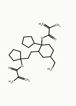 C=C(C)C(=O)OC1(CCC2CC(CC)CCC2(OC(=O)C(=C)C)C2CCCC2)CCCC1